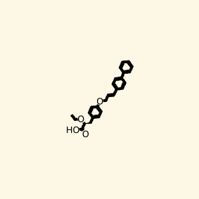 CCO[C@@H](Cc1ccc(OC/C=C/c2ccc(-c3ccccc3)cc2)cc1)C(=O)O